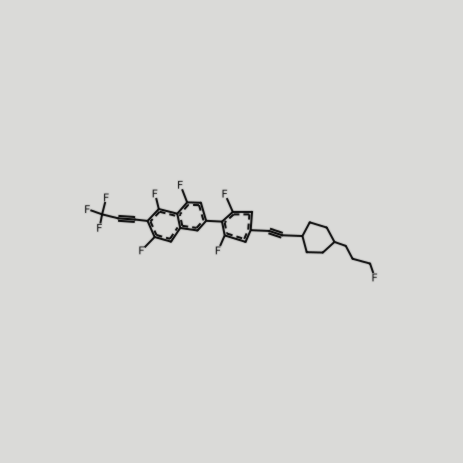 FCCCC1CCC(C#Cc2cc(F)c(-c3cc(F)c4c(F)c(C#CC(F)(F)F)c(F)cc4c3)c(F)c2)CC1